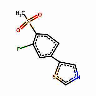 CS(=O)(=O)c1ccc(-c2cncs2)cc1F